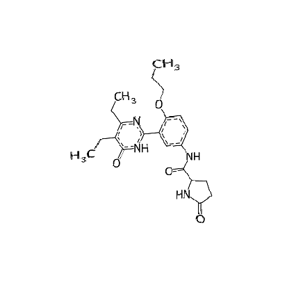 CCCOc1ccc(NC(=O)C2CCC(=O)N2)cc1-c1nc(CC)c(CC)c(=O)[nH]1